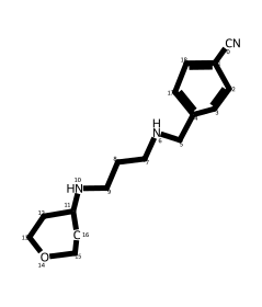 N#Cc1ccc(CNCCCNC2CCOCC2)cc1